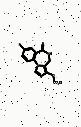 CCOC(=O)Oc1ncn2c1CNC(=S)c1cc(F)ccc1-2